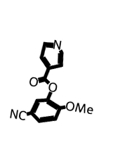 COc1ccc(C#N)cc1OC(=O)c1ccncc1